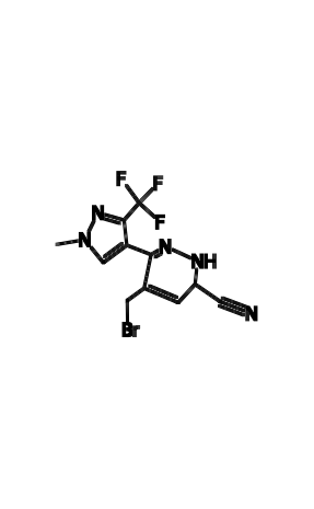 Cn1cc(C2=NNC(C#N)C=C2CBr)c(C(F)(F)F)n1